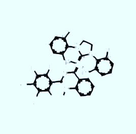 CC(C)Oc1ccccc1[C](NC(=O)c1c(F)c(F)c(F)c(F)c1F)=[Ru]([Cl])([Cl])=[C]1N(c2c(C(C)C)cccc2C(C)C)CCN1c1c(C(C)C)cccc1C(C)C